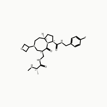 CN[C@@H](C)C(=O)NC[C@H]1CN(C2COC2)CC[C@H]2CC[C@@H](C(=O)NCc3ccc(F)cc3)N2C1=O